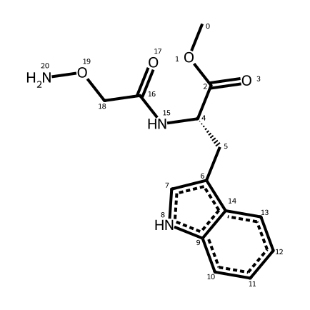 COC(=O)[C@H](Cc1c[nH]c2ccccc12)NC(=O)CON